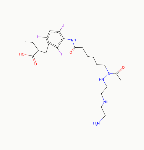 CCC(Cc1c(I)cc(I)c(NC(=O)CCCCCN(NCCNCCN)C(C)=O)c1I)C(=O)O